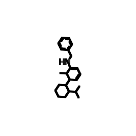 CC(C)C1CCCCC1C1C=CC=C(NCc2ccccc2)C1C